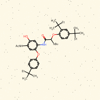 CCCCC(Oc1ccc(C(C)(C)CC)cc1C(C)(C)CC)C(=O)Nc1cc(O)c(NC(C)=O)cc1Oc1ccc(C(C)(C)CC)cc1